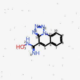 N=C(NO)c1cc2ccccc2n2nnnc12